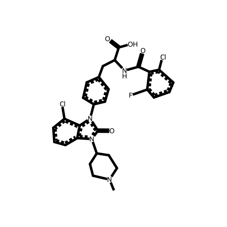 CN1CCC(n2c(=O)n(-c3ccc(CC(NC(=O)c4c(F)cccc4Cl)C(=O)O)cc3)c3c(Cl)cccc32)CC1